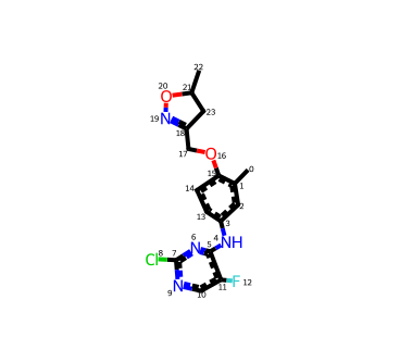 Cc1cc(Nc2nc(Cl)ncc2F)ccc1OCC1=NOC(C)C1